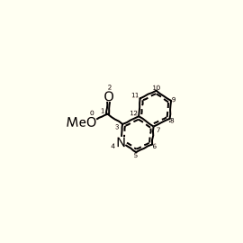 COC(=O)c1nccc2[c]cccc12